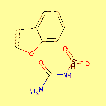 NC(=O)N[SH](=O)=O.c1ccc2occc2c1